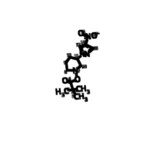 CC(C)(C)C(=O)ON1CCC[C@@H](n2cc([N+](=O)[O-])cn2)C1